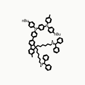 CCCCc1ccc(N(c2ccc(C)cc2)c2ccc(N(c3ccc(CCCC)cc3)c3ccc(-c4ccc5c(c4)C(CCCCCCN(C)C(c4ccccc4)c4ccccc4)(CCCCCCN(C)C(c4ccccc4)c4ccccc4)c4cc(C)ccc4-5)cc3)cc2)cc1